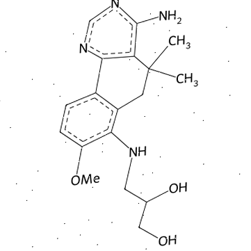 COc1ccc2c(c1NCC(O)CO)CC(C)(C)c1c(N)ncnc1-2